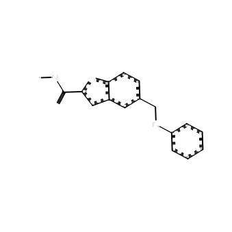 O=C(NO)c1cc2cc(CNc3ccccc3)ccc2o1